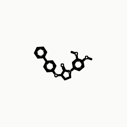 COc1ccc(N2CCC(Oc3ccc(-c4ccccc4)cc3)C2=O)cc1OC